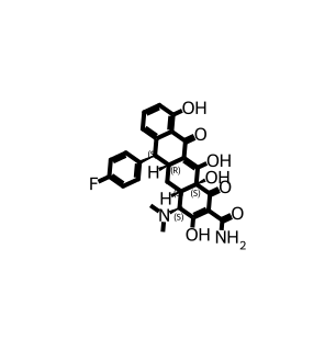 CN(C)[C@@H]1C(O)=C(C(N)=O)C(=O)[C@@]2(O)C(O)=C3C(=O)c4c(O)cccc4[C@H](c4ccc(F)cc4)[C@H]3C[C@@H]12